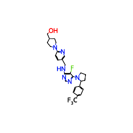 OCC1CCN(c2ccc(CNc3ncnc(N4CCCC4c4ccc(C(F)(F)F)cc4)c3F)cn2)CC1